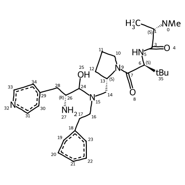 CN[C@@H](C)C(=O)N[C@H](C(=O)N1CCC[C@H]1CN(CCc1ccccc1)C(O)[C@H](N)Cc1ccncc1)C(C)(C)C